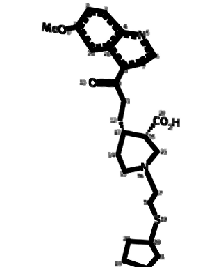 COc1ccc2nccc(C(=O)CC[C@H]3CCN(CCSC4CCCC4)C[C@H]3C(=O)O)c2c1